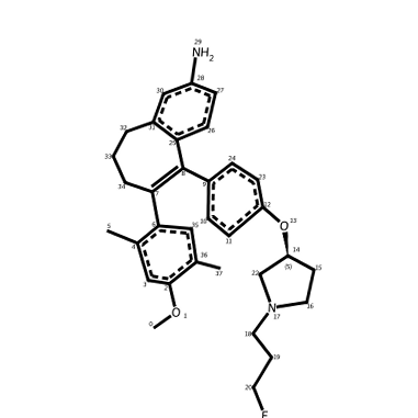 COc1cc(C)c(C2=C(c3ccc(O[C@H]4CCN(CCCF)C4)cc3)c3ccc(N)cc3CCC2)cc1C